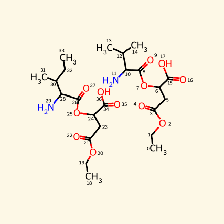 CCOC(=O)CC(OC(=O)C(N)C(C)C)C(=O)O.CCOC(=O)CC(OC(=O)C(N)C(C)CC)C(=O)O